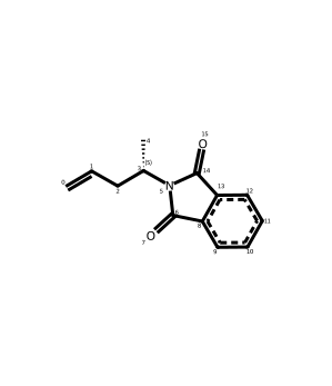 C=CC[C@H](C)N1C(=O)c2ccccc2C1=O